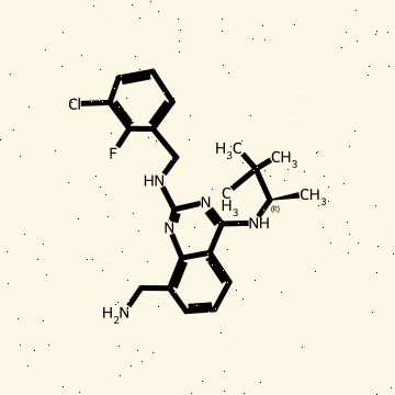 C[C@@H](Nc1nc(NCc2cccc(Cl)c2F)nc2c(CN)cccc12)C(C)(C)C